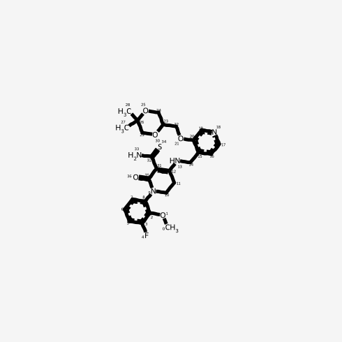 COc1c(F)cccc1N1CCC(NCc2ccncc2OCC2COC(C)(C)CO2)=C(C(N)=S)C1=O